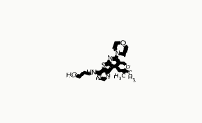 CC1(C)Cc2c(c(N3CCOCC3)nc3sc4c(NCCCO)ncnc4c23)CO1